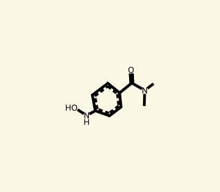 CN(C)C(=O)c1ccc(NO)cc1